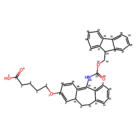 O=C(O)CCCCOC1=CC2CCc3ccccc3C(NC(=O)OCC3c4ccccc4-c4ccccc43)=C2C=C1